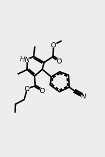 CCCOC(=O)C1=C(C)NC(C)=C(C(=O)OC)C1c1ccc(C#N)cc1